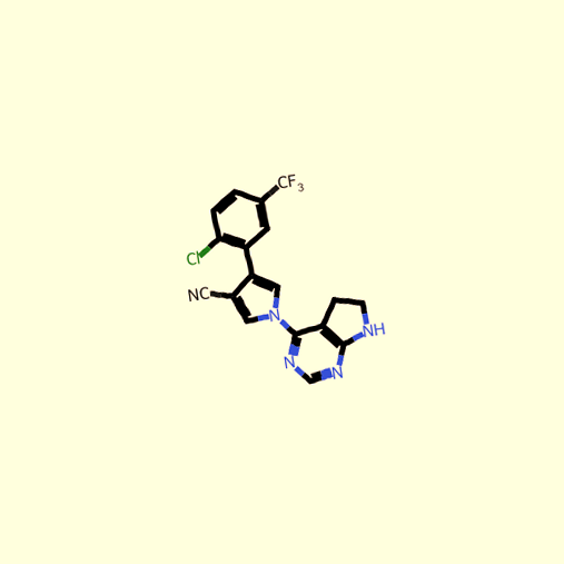 N#Cc1cn(-c2ncnc3c2CCN3)cc1-c1cc(C(F)(F)F)ccc1Cl